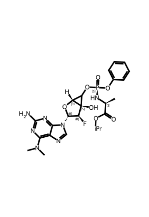 CC(C)OC(=O)[C@H](C)N[P@@](=O)(Oc1ccccc1)OC1[C@H]2O[C@@H](n3cnc4c(N(C)C)nc(N)nc43)[C@H](F)[C@@]12O